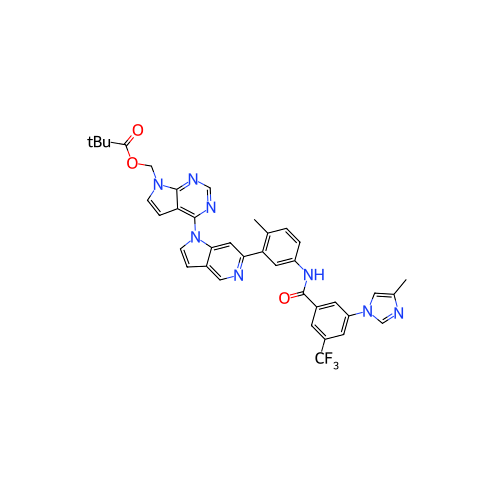 Cc1cn(-c2cc(C(=O)Nc3ccc(C)c(-c4cc5c(ccn5-c5ncnc6c5ccn6COC(=O)C(C)(C)C)cn4)c3)cc(C(F)(F)F)c2)cn1